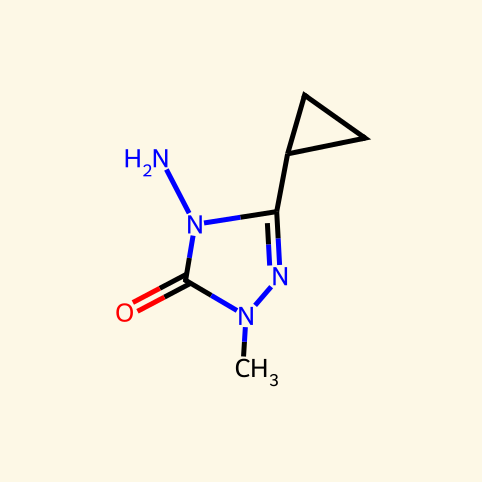 Cn1nc(C2CC2)n(N)c1=O